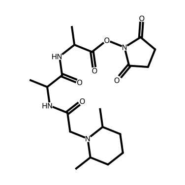 CC(NC(=O)CN1C(C)CCCC1C)C(=O)NC(C)C(=O)ON1C(=O)CCC1=O